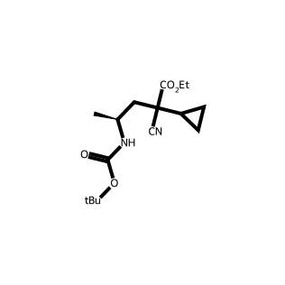 CCOC(=O)C(C#N)(C[C@H](C)NC(=O)OC(C)(C)C)C1CC1